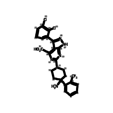 NC1(c2ccccc2C(F)(F)F)CCN(c2nc(C(=O)O)c3c(-c4cccc(Cl)c4Cl)n[nH]c3n2)CC1